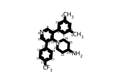 Cc1cc(C)cc(-c2cncc(-c3ccc(C(F)(F)F)cc3)c2N2CCC(N)CC2)c1